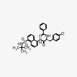 CC(C)(C)NS(=O)(=O)c1cccc2c(NC(=O)[C@H](Cc3ccc(Cl)cc3)NC(=O)c3ccccc3)cccc12